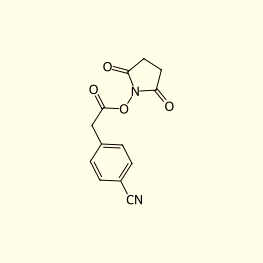 N#Cc1ccc(CC(=O)ON2C(=O)CCC2=O)cc1